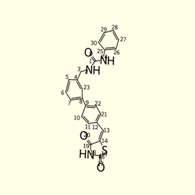 O=C(NCc1cccc(-c2ccc(/C=C3/SC(=O)NC3=O)cc2)c1)Nc1ccccc1